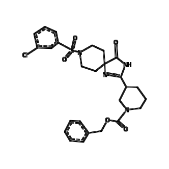 O=C(OCc1ccccc1)N1CCCC(C2=NC3(CCN(S(=O)(=O)c4cccc(Cl)c4)CC3)C(=O)N2)C1